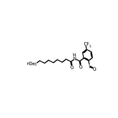 CCCCCCCCCCCCCCCCCC(=O)NC(=O)c1cc(C(F)(F)F)ccc1I=O